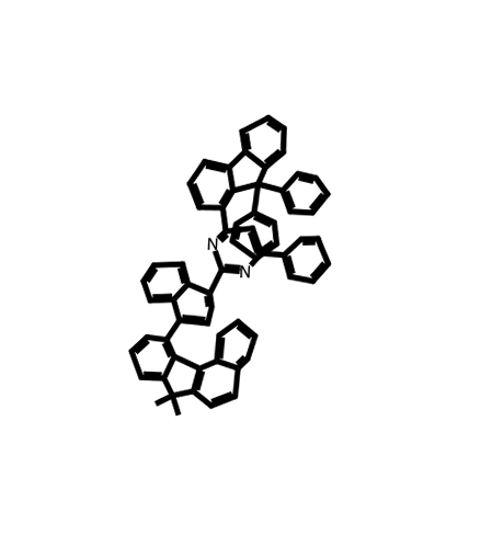 CC1(C)c2cccc(-c3ccc(-c4nc(-c5ccccc5)cc(-c5cccc6c5C(c5ccccc5)(c5ccccc5)c5ccccc5-6)n4)c4ccccc34)c2-c2c1ccc1ccccc21